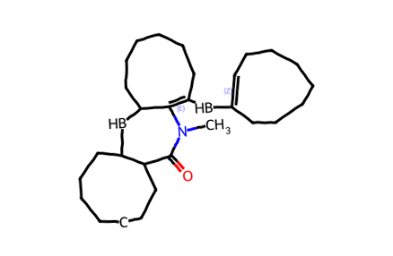 CN1C(=O)C2CCCCCCCC2BC2CCCCCC/C(B/C3=C/CCCCCCC3)=C\21